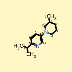 CC1CCCN(c2ccc(C(C)C)nc2)C1